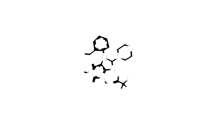 Cn1c2c(c(=O)n(C)c1=O)N(c1ccccc1CF)C(N1CCNCC1)N2OC(=O)C(F)(F)F